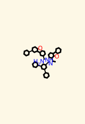 C=C(/N=C(\NC(N)c1ccc2oc3ccc(-c4ccccc4)cc3c2c1)c1cc(-c2ccccc2)cc(-c2ccccc2)c1)c1cccc2c1oc1ccccc12